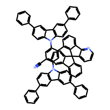 N#Cc1cc(-n2c3ccc(-c4ccccc4)cc3c3cc(-c4ccccc4)ccc32)c(-c2cccc3c2C2(c4ccccc4-c4ccccc42)c2cccnc2-3)cc1-n1c2ccc(-c3ccccc3)cc2c2cc(-c3ccccc3)ccc21